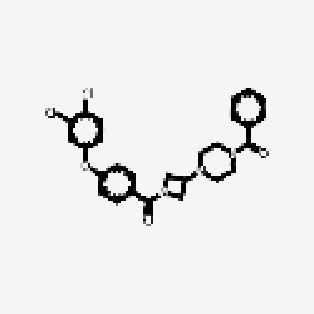 O=C(c1ccccc1)N1CCN(C2CN(C(=O)c3ccc(Oc4ccc(Cl)c(Cl)c4)cc3)C2)CC1